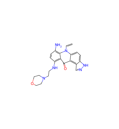 C=Cn1c2ccc3[nH]ncc3c2c(=O)c2c(NCCN3CCOCC3)ccc(N)c21